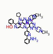 CN1CCN(c2nc(C(c3ccc(-c4ccccc4N)nc3)N(Cc3ccc(-c4ccccc4O)nc3)c3nc(N4CCN(C)CC4)nc4c3ncn4C3CCCC3)c3ncn(C4CCCC4)c3n2)CC1